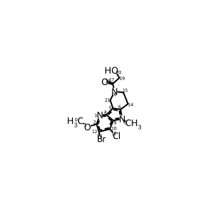 COc1nc2c3c(n(C)c2c(Cl)c1Br)CCN(C(=O)CO)C3